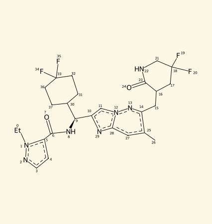 CCn1nccc1C(=O)N[C@H](c1cn2nc(CC3CC(F)(F)CNC3=O)c(C)cc2n1)C1CCC(F)(F)CC1